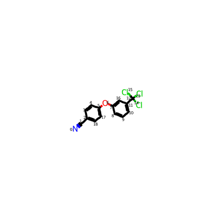 N#Cc1ccc(Oc2cccc(C(Cl)(Cl)Cl)c2)cc1